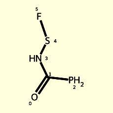 O=C(P)NSF